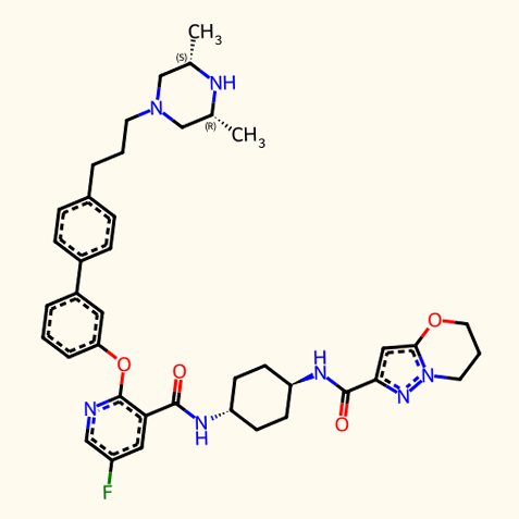 C[C@@H]1CN(CCCc2ccc(-c3cccc(Oc4ncc(F)cc4C(=O)N[C@H]4CC[C@H](NC(=O)c5cc6n(n5)CCCO6)CC4)c3)cc2)C[C@H](C)N1